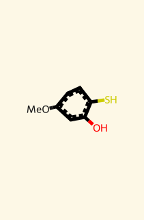 COc1ccc(S)c(O)c1